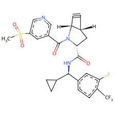 CS(=O)(=O)c1cncc(C(=O)N2[C@@H](C(=O)N[C@@H](c3ccc(C(F)(F)F)c(F)c3)C3CC3)C[C@H]3C#C[C@H]32)c1